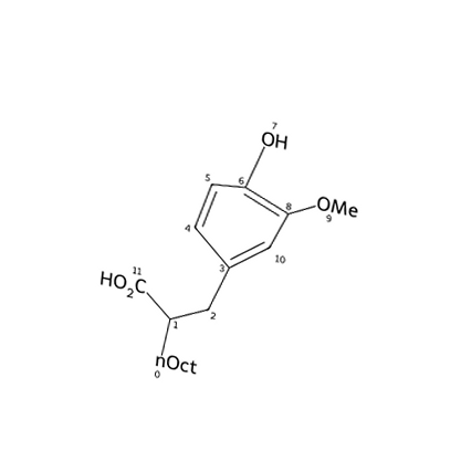 CCCCCCCCC(Cc1ccc(O)c(OC)c1)C(=O)O